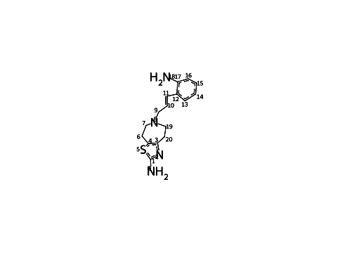 Nc1nc2c(s1)CCN(CC=Cc1ccccc1N)CC2